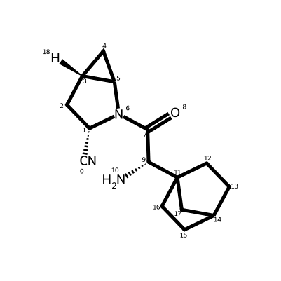 N#C[C@@H]1C[C@@H]2CC2N1C(=O)[C@@H](N)C12CCC(CC1)C2